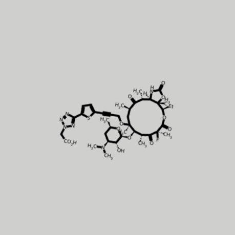 CC[C@H]1OC(=O)[C@@](C)(F)C(=O)[C@H](C)[C@@H](O[C@@H]2O[C@H](C)C[C@H](N(C)C)[C@H]2O)[C@@](C)(OCC#Cc2ccc(-c3nnn(CC(=O)O)n3)s2)C[C@@H](C)C(=O)[C@H](C)[C@H]2NC(=O)O[C@@]21C